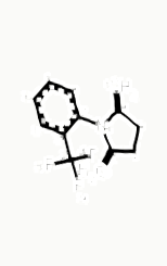 C=C1CCC(=C)N1c1ccccc1C(F)(F)F